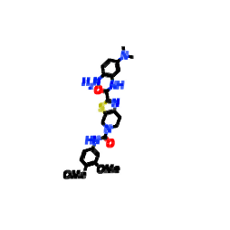 COc1ccc(NC(=O)N2CCc3nc(C(=O)Nc4cc(N(C)C)ccc4N)sc3C2)cc1OC